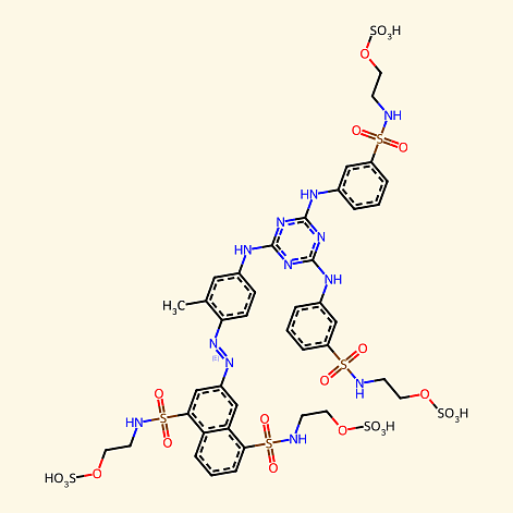 Cc1cc(Nc2nc(Nc3cccc(S(=O)(=O)NCCOS(=O)(=O)O)c3)nc(Nc3cccc(S(=O)(=O)NCCOS(=O)(=O)O)c3)n2)ccc1/N=N/c1cc(S(=O)(=O)NCCOS(=O)(=O)O)c2cccc(S(=O)(=O)NCCOS(=O)(=O)O)c2c1